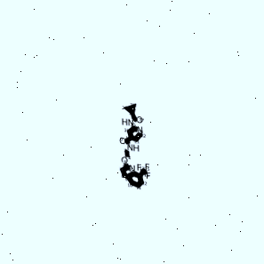 O=C(NCCOc1ccc2cccc(C(F)(F)F)c2n1)c1ccnc(NC(=O)C2CC2)c1